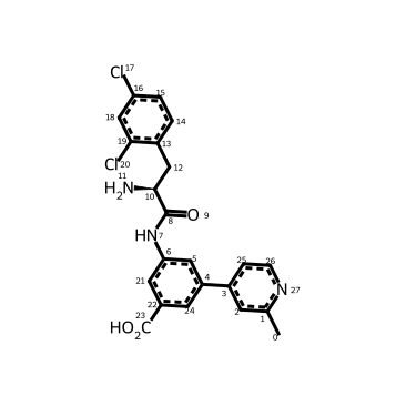 Cc1cc(-c2cc(NC(=O)[C@@H](N)Cc3ccc(Cl)cc3Cl)cc(C(=O)O)c2)ccn1